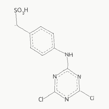 O=S(=O)(O)[CH]c1ccc(Nc2nc(Cl)nc(Cl)n2)cc1